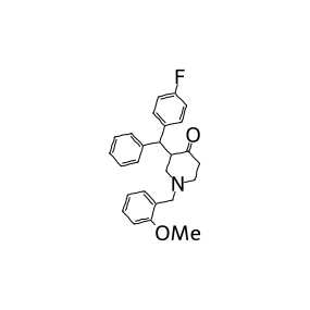 COc1ccccc1CN1CCC(=O)C(C(c2ccccc2)c2ccc(F)cc2)C1